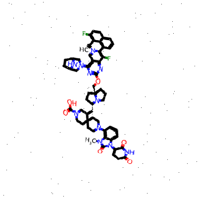 C#Cc1c(F)ccc2cccc(-c3ncc4c(N5CC6CCC(C5)N6)nc(OC[C@@]56CCCN5[C@H](CC5CN(C(=O)O)CCC57CCN(c5cccc8c5n(C)c(=O)n8C5CCC(=O)NC5=O)CC7)CC6)nc4c3F)c12